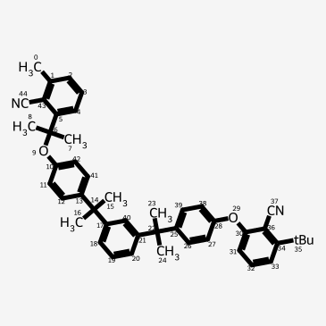 Cc1cccc(C(C)(C)Oc2ccc(C(C)(C)c3cccc(C(C)(C)c4ccc(Oc5cccc(C(C)(C)C)c5C#N)cc4)c3)cc2)c1C#N